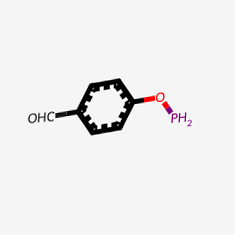 O=Cc1ccc(OP)cc1